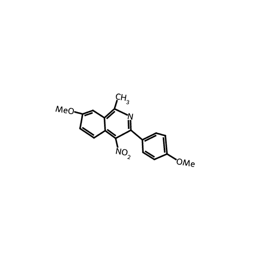 COc1ccc(-c2nc(C)c3cc(OC)ccc3c2[N+](=O)[O-])cc1